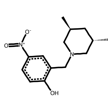 C[C@H]1C[C@H](C)CN(Cc2cc([N+](=O)[O-])ccc2O)C1